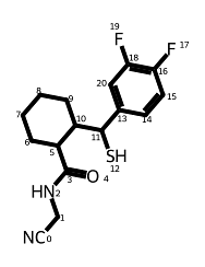 N#CCNC(=O)C1CCCCC1C(S)c1ccc(F)c(F)c1